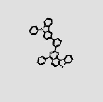 c1ccc(-c2nc(-c3cccc(-c4ccc5c(c4)c4ccccc4n5-c4ccccc4)c3)nc3c2ccc2sc4ccccc4c23)cc1